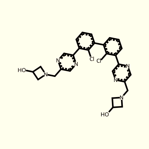 OC1CN(Cc2cnc(-c3cccc(-c4cccc(-c5cnc(CN6CC(O)C6)cn5)c4Cl)c3Cl)cn2)C1